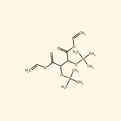 C=COC(=O)C(O[Si](C)(C)C)C(O[Si](C)(C)C)C(=O)OC=C